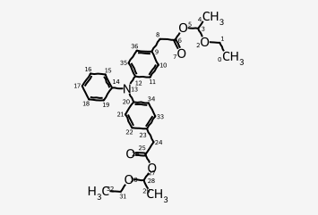 CCOC(C)OC(=O)Cc1ccc(N(c2ccccc2)c2ccc(CC(=O)OC(C)OCC)cc2)cc1